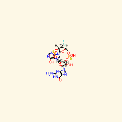 Nc1nc2c(ncn2[C@@H]2O[C@@H]3COP(O)(=S)O[C@H]4[C@H](n5cnc6c(O)ncnc65)O[C@H](COP(O)(=S)O[C@H]3[C@H]2O)[C@@]42CC2(F)F)c(=O)[nH]1